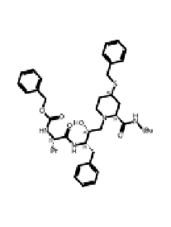 CC(C)[C@H](NC(=O)OCc1ccccc1)C(=O)N[C@@H](Cc1ccccc1)[C@H](O)CN1CC[C@@H](SCc2ccccc2)C[C@H]1C(=O)NC(C)(C)C